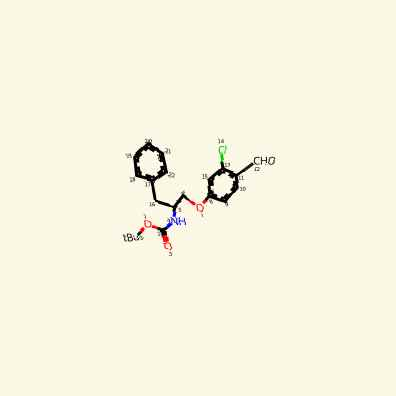 CC(C)(C)OC(=O)NC(COc1ccc(C=O)c(Cl)c1)Cc1ccccc1